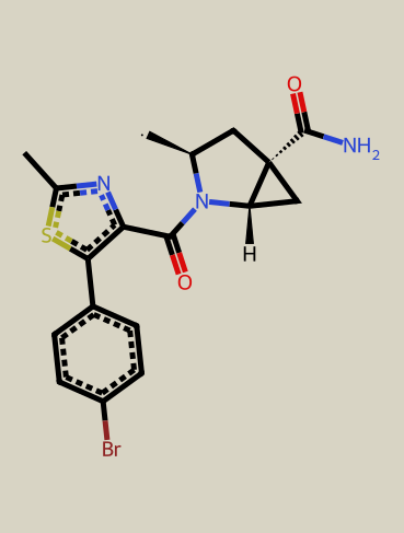 [CH2][C@H]1C[C@@]2(C(N)=O)C[C@@H]2N1C(=O)c1nc(C)sc1-c1ccc(Br)cc1